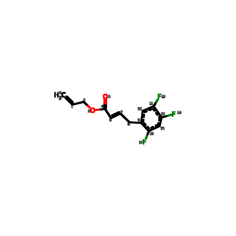 C=CCOC(=O)C=CCc1cc(F)c(F)cc1F